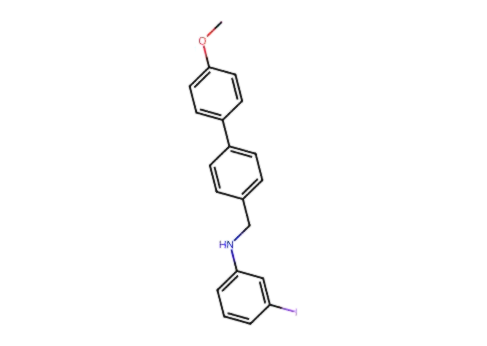 COc1ccc(-c2ccc(CNc3cccc(I)c3)cc2)cc1